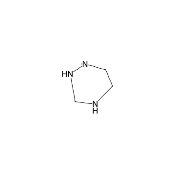 C1CNCN[N]1